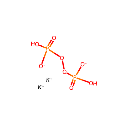 O=P([O-])(O)OOP(=O)([O-])O.[K+].[K+]